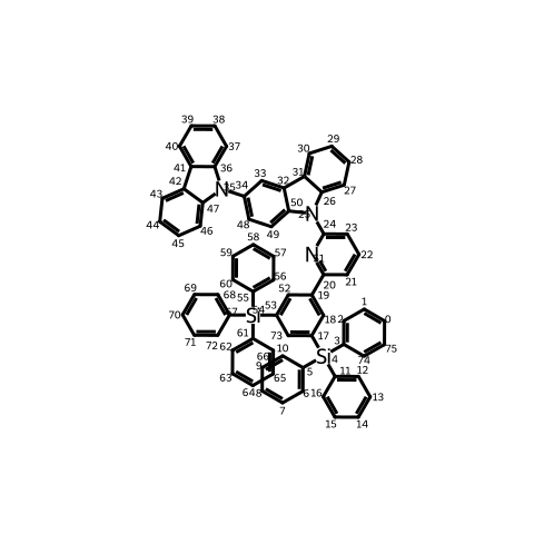 c1ccc([Si](c2ccccc2)(c2ccccc2)c2cc(-c3cccc(-n4c5ccccc5c5cc(-n6c7ccccc7c7ccccc76)ccc54)n3)cc([Si](c3ccccc3)(c3ccccc3)c3ccccc3)c2)cc1